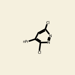 C[CH]Cc1cc(Cl)nnc1Cl